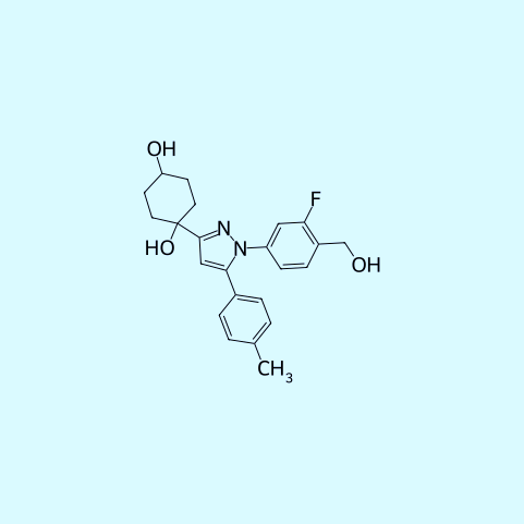 Cc1ccc(-c2cc(C3(O)CCC(O)CC3)nn2-c2ccc(CO)c(F)c2)cc1